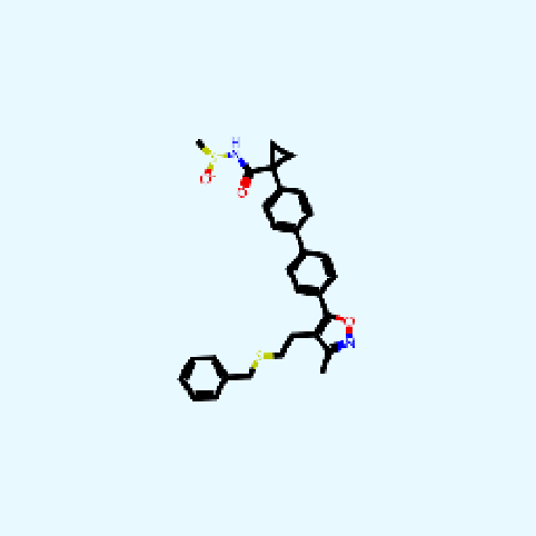 Cc1noc(-c2ccc(-c3ccc(C4(C(=O)N[S+](C)[O-])CC4)cc3)cc2)c1CCSCc1ccccc1